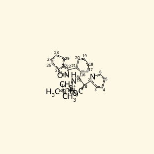 C[C@H](c1ccccn1)[C@H](N[S@@+]([O-])C(C)(C)C)c1ccccc1-c1noc2ccccc12